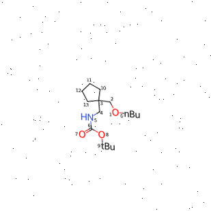 CCCCOCC1(CNC(=O)OC(C)(C)C)CCCC1